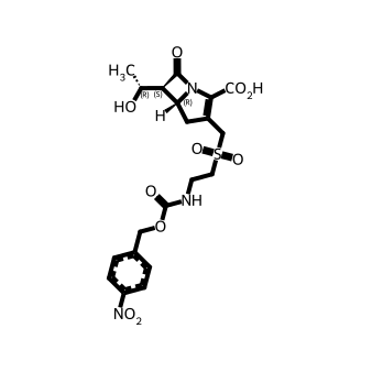 C[C@@H](O)[C@H]1C(=O)N2C(C(=O)O)=C(CS(=O)(=O)CCNC(=O)OCc3ccc([N+](=O)[O-])cc3)C[C@H]12